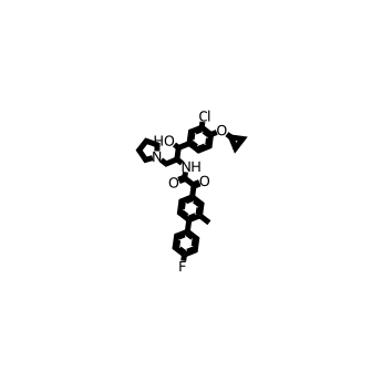 Cc1cc(C(=O)C(=O)NC(CN2CCCC2)C(O)c2ccc(OC3CC3)c(Cl)c2)ccc1-c1ccc(F)cc1